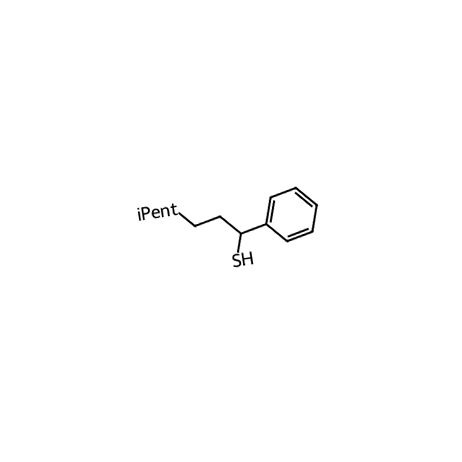 CCCC(C)CCC(S)c1ccccc1